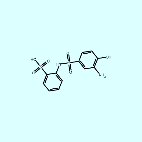 Nc1cc(S(=O)(=O)Nc2ccccc2S(=O)(=O)O)ccc1O